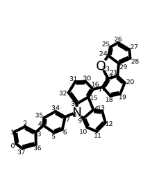 c1ccc(-c2ccc(-n3c4ccccc4c4c(-c5cccc6c5oc5ccccc56)cccc43)cc2)cc1